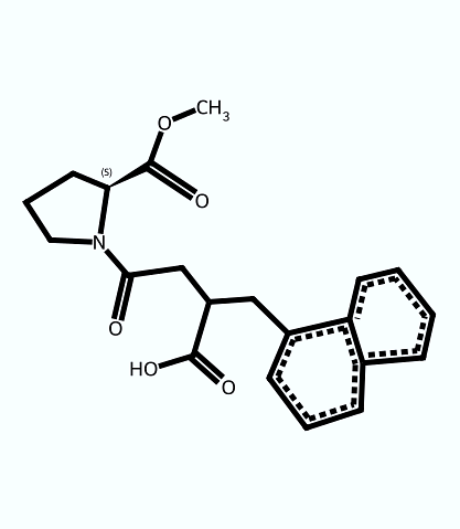 COC(=O)[C@@H]1CCCN1C(=O)CC(Cc1cccc2ccccc12)C(=O)O